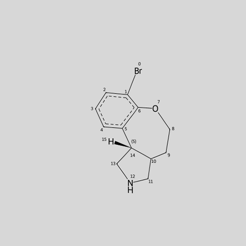 Brc1cccc2c1OCCC1CNC[C@H]21